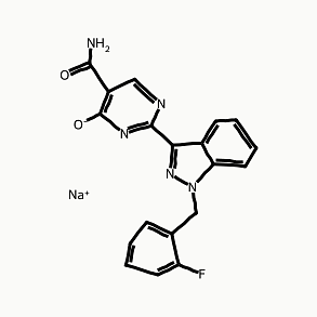 NC(=O)c1cnc(-c2nn(Cc3ccccc3F)c3ccccc23)nc1[O-].[Na+]